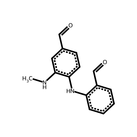 CNc1cc(C=O)ccc1Nc1ccccc1C=O